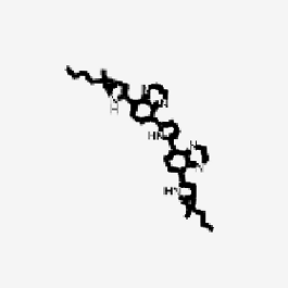 CCCCC1(C)c2cc(-c3ccc(-c4ccc(-c5ccc(-c6cc7c([nH]6)C7(C)CCC)c6nccnc56)[nH]4)c4nccnc34)[nH]c21